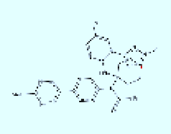 CCCC(=O)N(c1cnc(-c2cnc(OC)nc2)cn1)C1(NC2N=CC(C#N)=CN2c2ccn(Cl)n2)CCCCC1